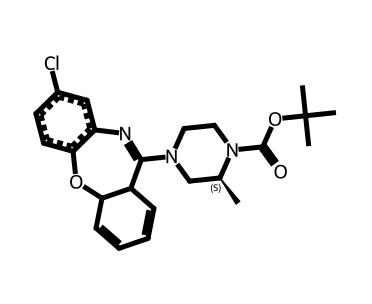 C[C@H]1CN(C2=Nc3cc(Cl)ccc3OC3C=CC=CC23)CCN1C(=O)OC(C)(C)C